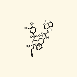 CC(C)(CCC#N)CN(C[C@@H](O)[C@H](Cc1ccccc1)NC(=O)O[C@H]1CO[C@H]2OCC[C@H]21)S(=O)(=O)c1ccc(O)c(O)c1